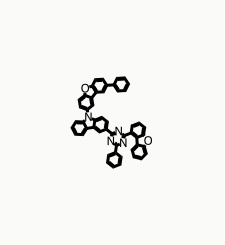 c1ccc(-c2ccc3oc4ccc(-n5c6ccccc6c6cc(-c7nc(-c8ccccc8)nc(-c8cccc9oc%10ccccc%10c89)n7)ccc65)cc4c3c2)cc1